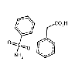 NS(=O)(=O)c1ccccc1.O=C(O)Cc1ccccc1